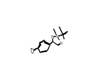 CC(C)(C)[Si](C)(C)OC(C=O)c1ccc(Cl)cc1